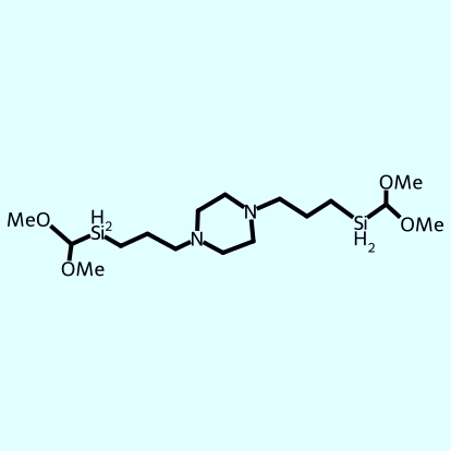 COC(OC)[SiH2]CCCN1CCN(CCC[SiH2]C(OC)OC)CC1